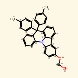 Cc1ccc(C2(c3ccc(C)cc3)c3ccccc3-n3c4ccc(OBO)cc4c4cccc2c43)cc1